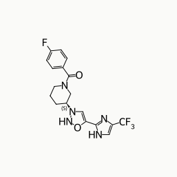 O=C(c1ccc(F)cc1)N1CCC[C@H](N2C=C(c3nc(C(F)(F)F)c[nH]3)ON2)C1